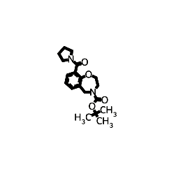 CC(C)(C)OC(=O)N1CCOc2c(cccc2C(=O)N2CCCC2)C1